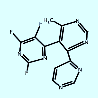 Cc1n[c]nc(-c2ccncn2)c1-c1nc(F)nc(F)c1F